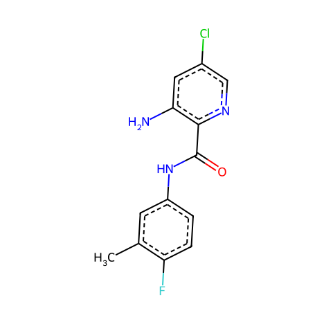 Cc1cc(NC(=O)c2ncc(Cl)cc2N)ccc1F